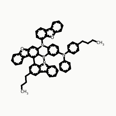 CCCCc1ccc(N(c2ccccc2)c2ccc3c(c2)B2c4c(cc5oc6ccccc6c5c4-c4cc(CCCC)cc5c6ccccc6n2c45)N3c2cccc3c2oc2ccccc23)cc1